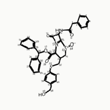 O=C(Cc1ccccc1)NC1C(=O)N2C(C(=O)OC(c3ccccc3)c3ccccc3)C(CSc3ccc(CO)cc3)C[S+]([O-])C12